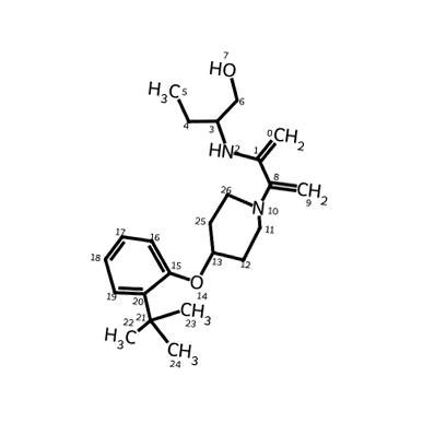 C=C(NC(CC)CO)C(=C)N1CCC(Oc2ccccc2C(C)(C)C)CC1